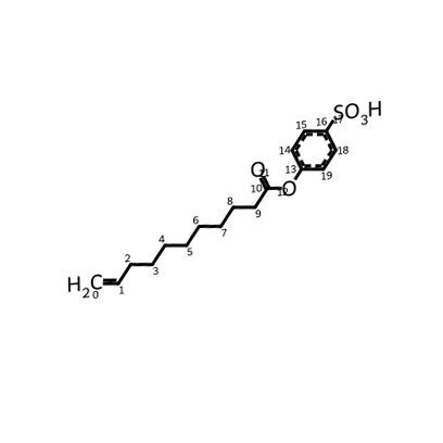 C=CCCCCCCCCC(=O)Oc1ccc(S(=O)(=O)O)cc1